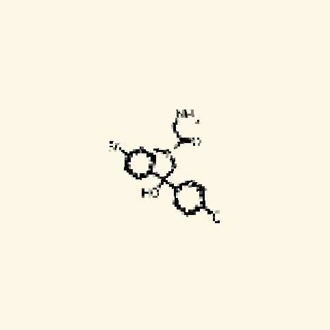 CN(CC(O)(c1ccc(Cl)cc1)c1ccc(Br)cc1)C(=O)CN